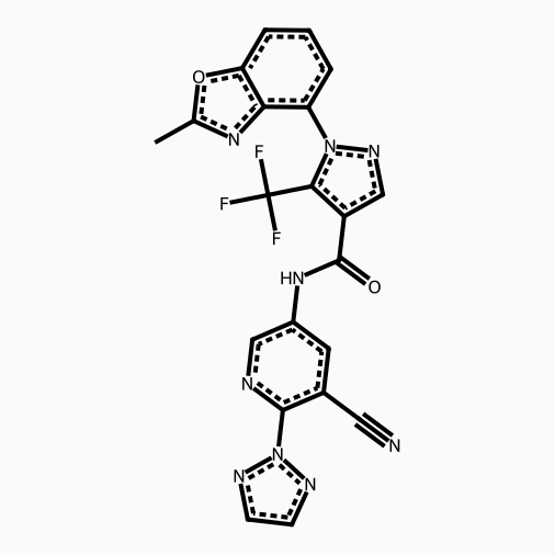 Cc1nc2c(-n3ncc(C(=O)Nc4cnc(-n5nccn5)c(C#N)c4)c3C(F)(F)F)cccc2o1